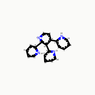 c1ccc(-c2ccnc(-c3ccccn3)c2-c2ccccn2)nc1